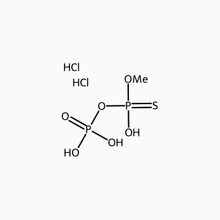 COP(O)(=S)OP(=O)(O)O.Cl.Cl